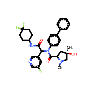 C[C@@]1(O)C[C@H](C(=O)N(c2ccc(-c3ccccc3)cc2)C(C(=O)NC2CCC(F)(F)CC2)c2cncc(F)c2)N(C#N)C1